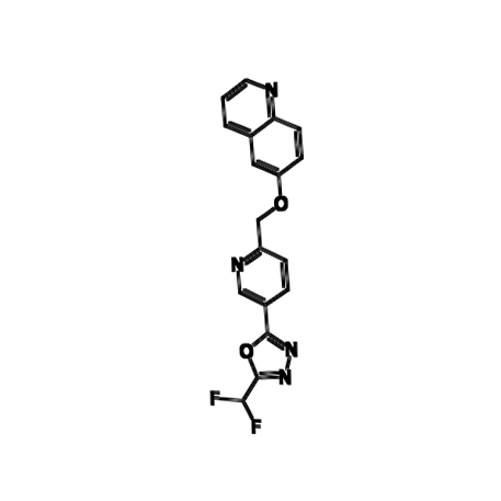 FC(F)c1nnc(-c2ccc(COc3ccc4ncccc4c3)nc2)o1